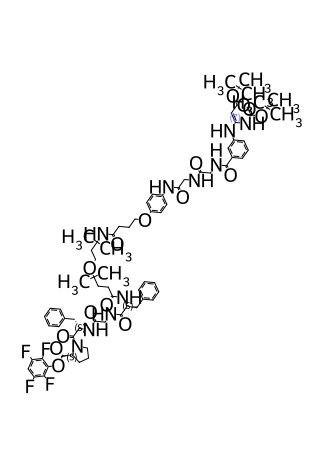 CC(C)(CCOC(C)(C)CCC(=O)N[C@@H](Cc1ccccc1)C(=O)NCC(=O)N[C@@H](Cc1ccccc1)C(=O)N1CCC[C@H]1C(=O)Oc1c(F)c(F)cc(F)c1F)NC(=O)CCCOc1ccc(NC(=O)CNC(=O)CNC(=O)c2cccc(N/C(=C/C(=O)OC(C)(C)C)NC(=O)OC(C)(C)C)c2)cc1